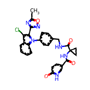 Cc1nc(-c2c(Cl)c3ccccc3n2-c2ccc(CNC(=O)C3(NC(=O)c4ccc(=O)[nH]c4)CC3)cc2)no1